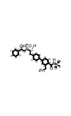 CC(C)Cc1cc(-c2ccc(CCN(C[C@H](O)c3ccccc3)C(=O)O)cc2)ccc1C(=O)NS(C)(=O)=O